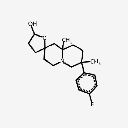 CC1(c2ccc(F)cc2)CCC2(C)CC3(CCC(O)O3)CCN2C1